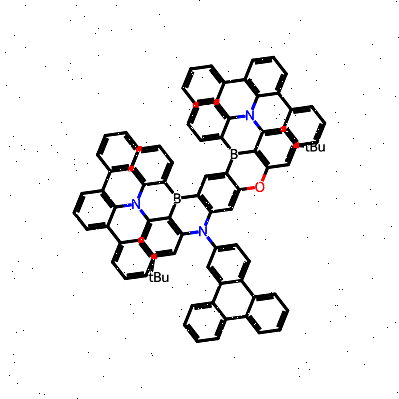 CC(C)(C)c1cc2c3c(c1)N(c1c(-c4ccccc4)cccc1-c1ccccc1)c1ccccc1B3c1cc3c(cc1O2)N(c1ccc2c4ccccc4c4ccccc4c2c1)c1cc(C(C)(C)C)cc2c1B3c1ccccc1N2c1c(-c2ccccc2)cccc1-c1ccccc1